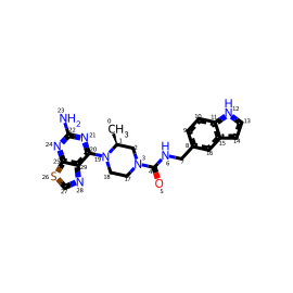 C[C@H]1CN(C(=O)NCc2ccc3[nH]ccc3c2)CCN1c1nc(N)nc2scnc12